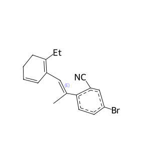 CCC1=C(/C=C(\C)c2ccc(Br)cc2C#N)C=CCC1